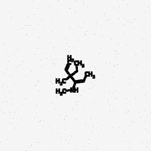 C=CC(C)(CC)/C(=C\C)NC